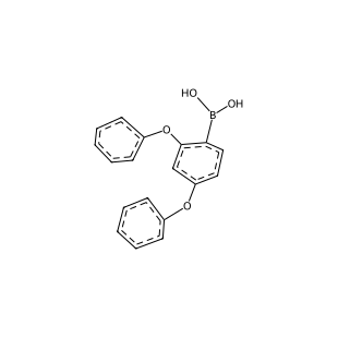 OB(O)c1ccc(Oc2ccccc2)cc1Oc1ccccc1